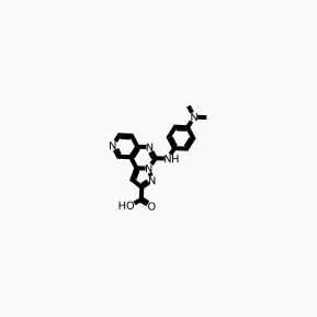 CN(C)c1ccc(Nc2nc3ccncc3c3cc(C(=O)O)nn23)cc1